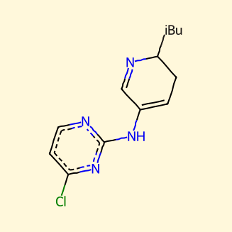 CCC(C)C1CC=C(Nc2nccc(Cl)n2)C=N1